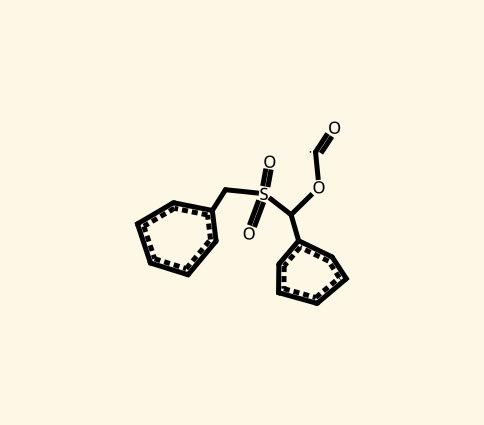 O=[C]OC(c1ccccc1)S(=O)(=O)Cc1ccccc1